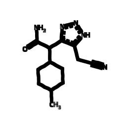 CC1CCC([C](C(N)=O)c2nn[nH]c2CC#N)CC1